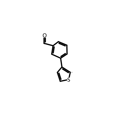 O=Cc1cccc(-c2[c]scc2)c1